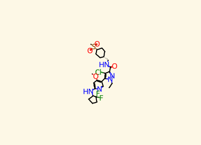 CCn1nc(C(=O)NC[C@H]2CC[C@H](S(C)(=O)=O)CC2)c(Cl)c1-c1cnc(NC2CCCC2(F)F)cc1OC